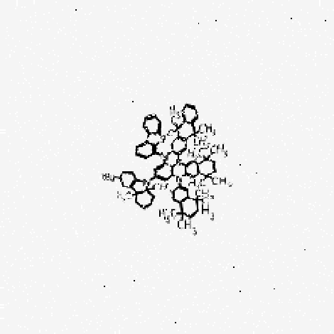 CC(C)(C)c1ccc2c(c1)C1(C)CCCCC1(C)N2c1cc2c3c(c1)N(c1cccc4c1sc1ccccc14)c1cc4c(cc1B3c1cc3c(cc1N2c1ccc2c(c1)C(C)(C)CCC2(C)C)C(C)(C)CCC3(C)C)C(C)(C)c1ccccc1C4(C)C